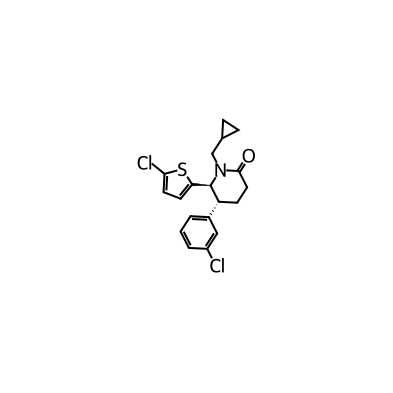 O=C1CC[C@H](c2cccc(Cl)c2)[C@@H](c2ccc(Cl)s2)N1CC1CC1